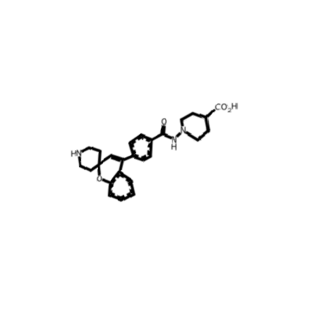 O=C(NN1CCC(C(=O)O)CC1)c1ccc(C2=CC3(CCNCC3)Oc3ccccc32)cc1